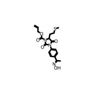 C=CCOC(=O)N1C(=O)N(c2ccc(/C(C)=N/O)cc2)C(=O)C1CCSC